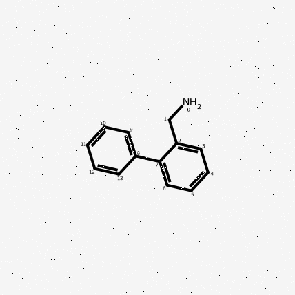 NCc1ccccc1-c1c[c]ccc1